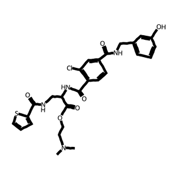 CN(C)CCOC(=O)C(CNC(=O)c1cccs1)NC(=O)c1ccc(C(=O)NCc2cccc(O)c2)cc1Cl